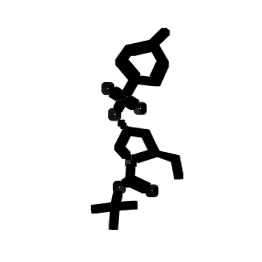 CC[C@@H]1C[C@@H](OS(=O)(=O)c2ccc(C)cc2)CN1C(=O)OC(C)(C)C